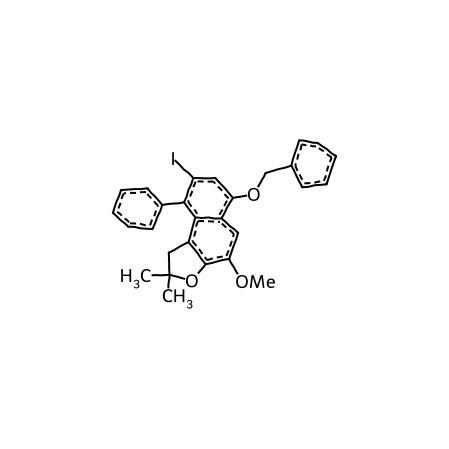 COc1cc2c(OCc3ccccc3)cc(I)c(-c3ccccc3)c2c2c1OC(C)(C)C2